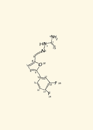 NC(=S)NN=Cc1ccc(-c2ccc(F)c(F)c2)o1